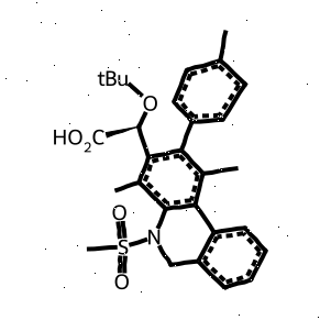 Cc1ccc(-c2c(C)c3c(c(C)c2[C@H](OC(C)(C)C)C(=O)O)N(S(C)(=O)=O)Cc2ccccc2-3)cc1